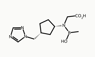 CB(O)N(CC(=O)O)[C@H]1CC[C@@H](Cn2cncn2)C1